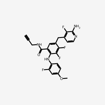 C#CCNC(=O)c1cc(Cc2ccnc(N)c2F)c(F)c(F)c1Nc1ccc(OC)cc1F